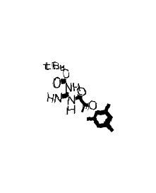 Cc1cc(C)c(O[C@@H](C)C(=O)NC(=N)NC(=O)OC(C)(C)C)c(C)c1